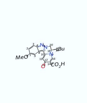 COc1ccc2nn3c(c2c1)-c1cc(=O)c(C(=O)O)cn1[C@H](C(C)(C)C)C3